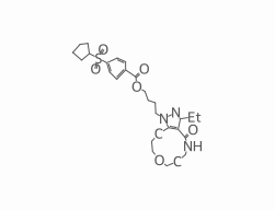 CCc1nn(CCCCOC(=O)c2ccc(S(=O)(=O)C3CCCC3)cc2)c2c1C(=O)NCCCOCCC2